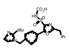 CC(C)Cc1nc(S(=O)(=O)NC(=O)O)c(-c2ccc(Cn3ccnc3C(C)(C)C)cc2)o1